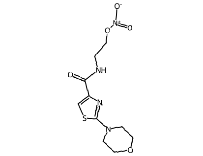 O=C(NCCO[N+](=O)[O-])c1csc(N2CCOCC2)n1